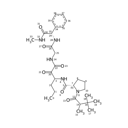 CCCC(NC(=O)[C@@H]1CCCN1C(=O)C(C)C(C)(C)C)C(=O)C(=O)NCC(=O)N[C@H](C(=O)NC)c1ccccc1